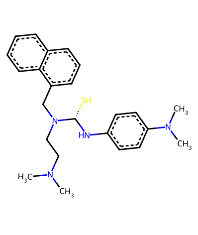 CN(C)CCN(Cc1cccc2ccccc12)[C@H](S)Nc1ccc(N(C)C)cc1